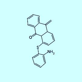 C=C1c2ccccc2C(=O)C2C(Sc3ccccc3N)=CC=CC12